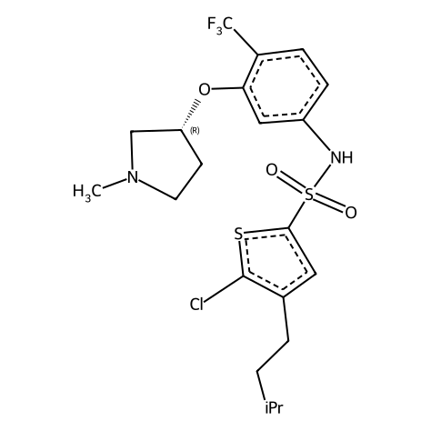 CC(C)CCc1cc(S(=O)(=O)Nc2ccc(C(F)(F)F)c(O[C@@H]3CCN(C)C3)c2)sc1Cl